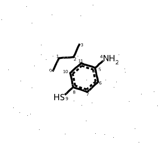 CCCC.Nc1ccc(S)cc1